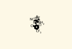 N#Cc1nn(-c2c(Cl)cc(C(F)(F)F)cc2Cl)c(N)c1S(=O)(F)(F)F